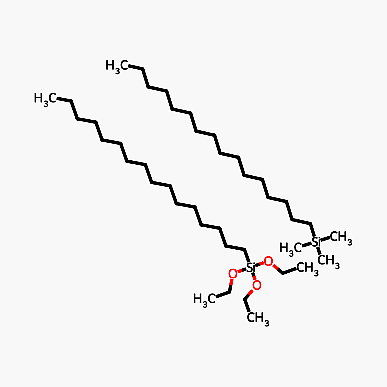 CCCCCCCCCCCCCCCC[Si](C)(C)C.CCCCCCCCCCCCCCCC[Si](OCC)(OCC)OCC